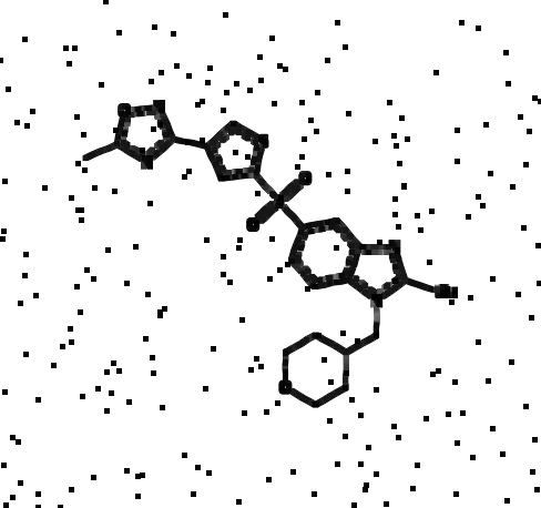 Cc1nc(-c2csc(S(=O)(=O)c3ccc4c(c3)nc(C(C)(C)C)n4CC3CCOCC3)c2)no1